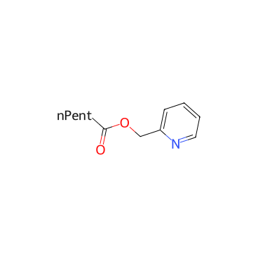 CCCCCC(=O)OCc1ccccn1